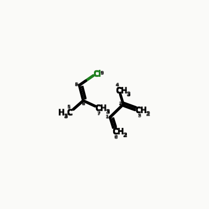 C=CC(=C)C.CC(C)=CCl